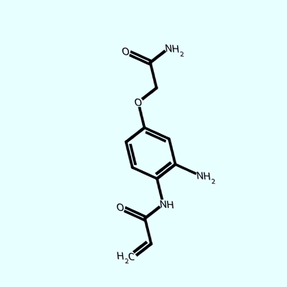 C=CC(=O)Nc1ccc(OCC(N)=O)cc1N